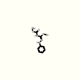 CCO/C(=N/Nc1ccccc1)NC(=O)OC(C)(C)C